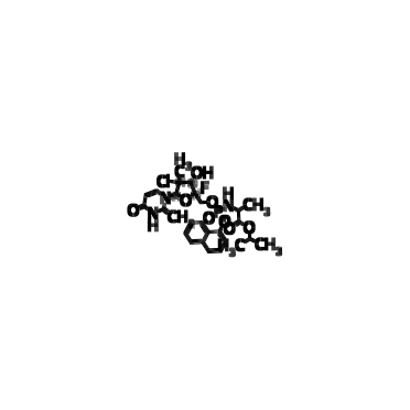 C=C1NC(=O)C=CN1[C@@H]1O[C@](F)(COP(=O)(NC(C)C(=O)OC(C)C)Oc2cccc3ccccc23)[C@@H](O)[C@@]1(C)Cl